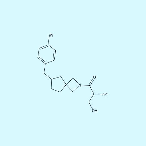 CCC[C@H](CO)C(=O)N1CC2(CCC(Cc3ccc(C(C)C)cc3)C2)C1